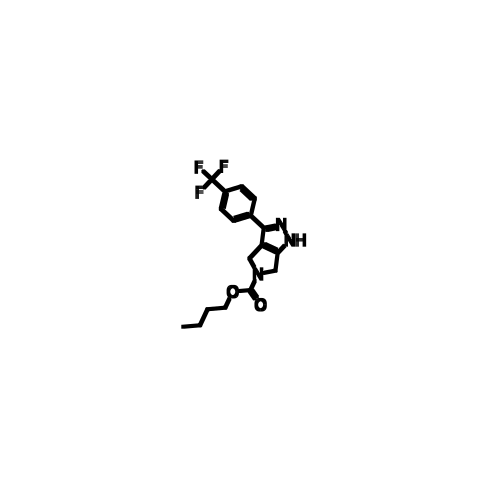 CCCCOC(=O)N1Cc2[nH]nc(-c3ccc(C(F)(F)F)cc3)c2C1